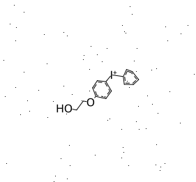 OCCOc1ccc([I+]c2ccccc2)cc1